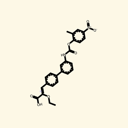 CCO/C(=C\c1ccc(-c2cccc(NC(=O)Oc3ccc([N+](=O)[O-])cc3C)c2)cc1)C(=O)O